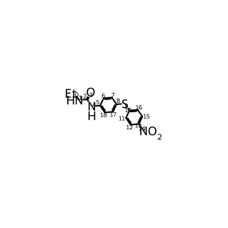 CCNC(=O)Nc1ccc(Sc2ccc([N+](=O)[O-])cc2)cc1